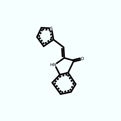 O=C1/C(=C/c2cccs2)Nc2ccccc21